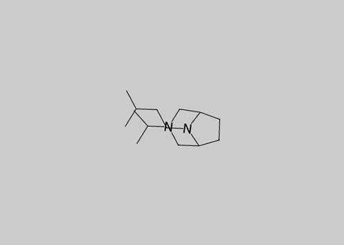 CC(C)CCN1C2CCC1CN(C(C)C)C2